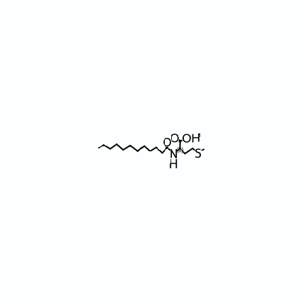 CCCCCCCCCCCC(=O)N[C@H](CCSC)C(=O)O